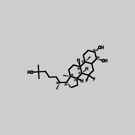 C[C@H](CCCC(C)(C)O)[C@H]1CC[C@H]2[C@H]3[C@H](CC[C@]12C)[C@@]1(C)CC[C@H](O)[C@H](O)C1CC3(F)F